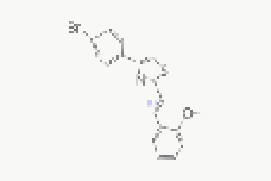 COc1ccccc1/C=C/c1nc(-c2ccc(Br)cc2)cs1